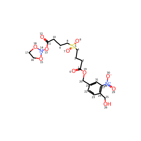 O=C(CCCS(=O)(=O)CCCC(=O)ON1OCCO1)OCc1ccc(CO)c([N+](=O)[O-])c1